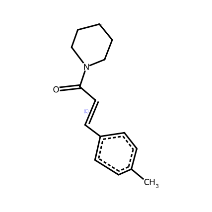 Cc1ccc(/C=C/C(=O)N2CC[CH]CC2)cc1